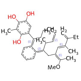 C=CC/C(c1cc(O)c(O)c(C)c1O)=c1/cccc/c1=C(\CC(/C=C(\C)C(=C)CC)=C(/C)OC)C(C)/C=C\C